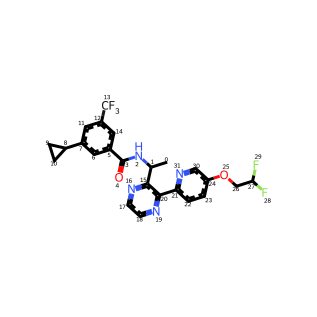 CC(NC(=O)c1cc(C2CC2)cc(C(F)(F)F)c1)c1nccnc1-c1ccc(OCC(F)F)cn1